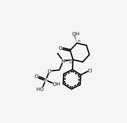 CN(COP(=O)(O)O)[C@]1(c2ccccc2Cl)CCC[C@@H](O)C1=O